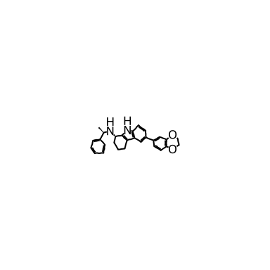 C[C@@H](N[C@@H]1CCCc2c1[nH]c1ccc(-c3ccc4c(c3)OCCO4)cc21)c1ccccc1